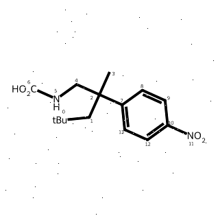 CC(C)(C)CC(C)(CNC(=O)O)c1ccc([N+](=O)[O-])cc1